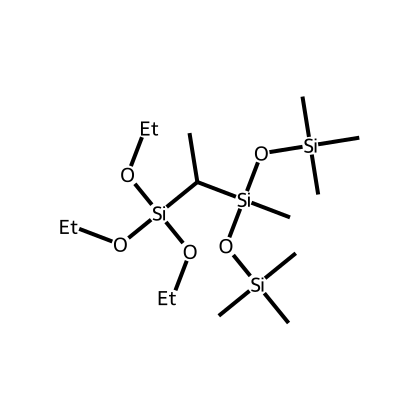 CCO[Si](OCC)(OCC)C(C)[Si](C)(O[Si](C)(C)C)O[Si](C)(C)C